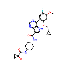 COc1cc(OCC2CC2)c(-c2ncnc3c(C(=O)N[C@H]4CC[C@H](NC(=O)C5(O)CC5)CC4)c[nH]c23)cc1F